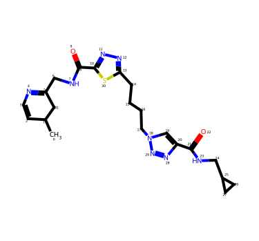 CC1C=CN=C(CNC(=O)c2nnc(CCCCn3cc(C(=O)NCC4CC4)nn3)s2)C1